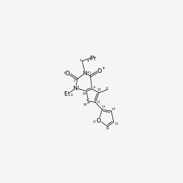 CCn1c(=O)n(CC(C)C)c(=O)c2c(C)c(-c3ccco3)sc21